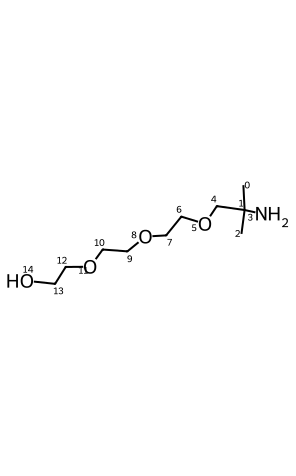 CC(C)(N)COCCOCCOCCO